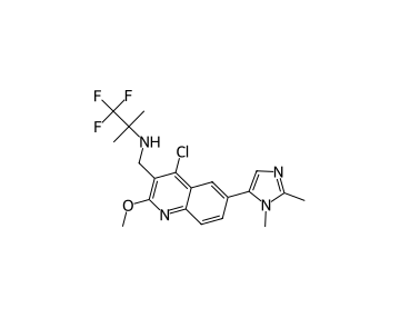 COc1nc2ccc(-c3cnc(C)n3C)cc2c(Cl)c1CNC(C)(C)C(F)(F)F